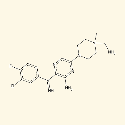 CC1(CN)CCN(c2cnc(C(=N)c3ccc(F)c(Cl)c3)c(N)n2)CC1